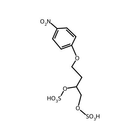 O=[N+]([O-])c1ccc(OCCC(COS(=O)(=O)O)OS(=O)(=O)O)cc1